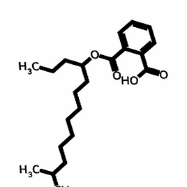 CCCC(CCCCCCCC(C)C)OC(=O)c1ccccc1C(=O)O